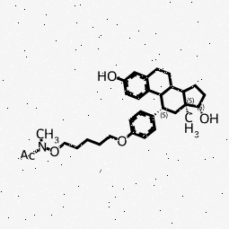 CC(=O)N(C)OCCCCCOc1ccc([C@H]2C[C@@]3(C)C(CC[C@@H]3O)C3CCc4cc(O)ccc4C32)cc1